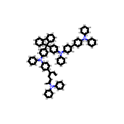 C=C/C(=C\C=C(/C)N(c1ccccc1)c1ccccc1)c1ccc(N(c2ccccc2)c2ccc(C3(c4ccc(N(c5ccccc5)c5ccc(-c6ccc(N(c7ccccc7)c7ccccc7)cc6)cc5)cc4)c4ccccc4-c4ccccc43)cc2)cc1